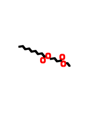 CCCCCCCCC(=O)OCCCC(=O)OCC